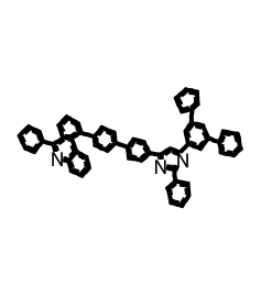 c1ccc(-c2cc(-c3ccccc3)cc(-c3cc(-c4ccc(-c5ccc(-c6cccc7c(-c8ccccc8)nc8ccccc8c67)cc5)cc4)nc(-c4ccccc4)n3)c2)cc1